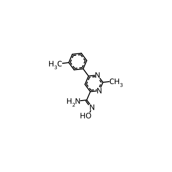 Cc1cccc(-c2cc(C(N)=NO)nc(C)n2)c1